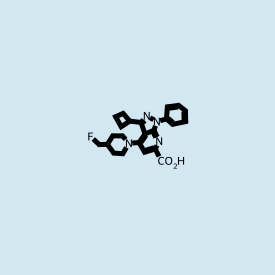 O=C(O)c1cc(N2CCC(CF)CC2)c2c(C3CCC3)nn(-c3ccccc3)c2n1